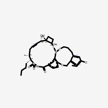 C=C1COc2ccc3cc2N(CCCC/C1=C/C(Cl)=C\C)C[C@@H]1CC[C@H]1[C@@H](O)/C=C\C[C@@H](C)[C@@H](CCCC)S(=O)(=O)NC3=O